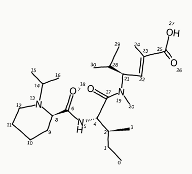 CC[C@H](C)[C@H](NC(=O)[C@H]1CCCCN1C(C)C)C(=O)N(C)[C@H](/C=C(\C)C(=O)O)C(C)C